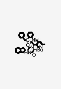 CC[C@H](C)[C@@H]1C(=O)N[C@H](C2Cc3ccccc3C2)C(=O)N1[C@@H](C(=O)Nc1ccccc1OCc1ccccc1)c1cnc(C)cc1C